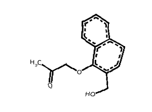 CC(=O)COc1c(CO)ccc2ccccc12